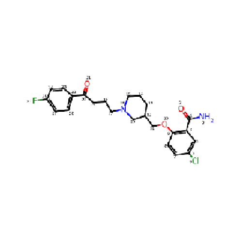 NC(=O)c1cc(Cl)ccc1OCC1CCCN(CCCC(=O)c2ccc(F)cc2)C1